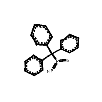 P=P(=S)C(c1ccccc1)(c1ccccc1)c1ccccc1